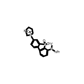 CCCN([11CH3])c1cccc2c1S(=O)(=O)c1cc(N3CCN4CCC3CC4)ccc1-2